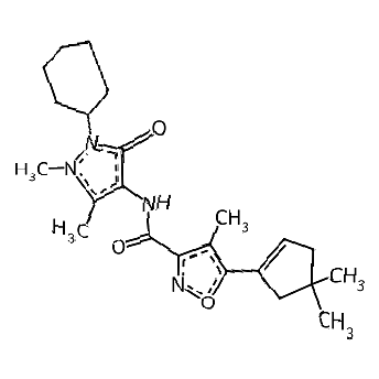 Cc1c(C(=O)Nc2c(C)n(C)n(C3CCCCC3)c2=O)noc1C1=CCC(C)(C)C1